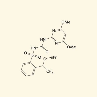 CCCOC(C)c1ccccc1S(=O)(=O)NC(=O)Nc1nc(OC)cc(OC)n1